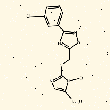 CCn1c(SCc2nc(-c3cccc(Cl)c3)no2)nnc1C(=O)O